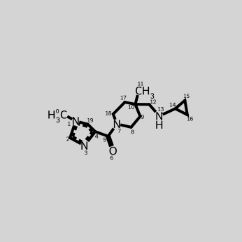 Cn1cnc(C(=O)N2CCC(C)(CNC3CC3)CC2)c1